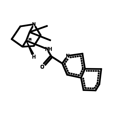 CC1(C)[C@H](NC(=O)c2cc3ccccc3cn2)C2CCN1CC2